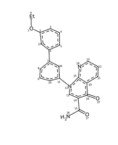 CCOc1cccc(-c2cccc(-n3cc(C(N)=O)c(=O)c4cccnc43)c2)c1